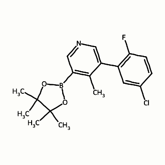 Cc1c(B2OC(C)(C)C(C)(C)O2)cncc1-c1cc(Cl)ccc1F